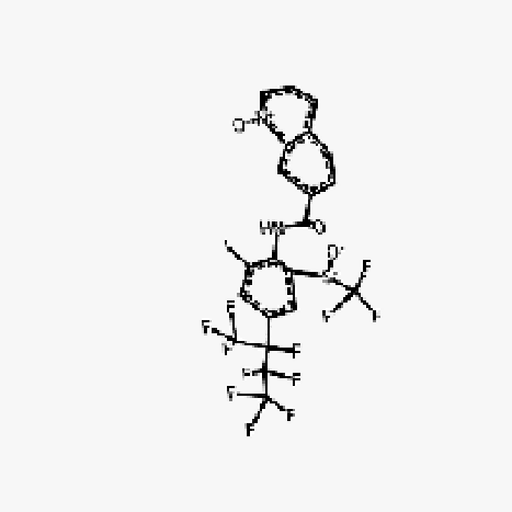 O=C(Nc1c(I)cc(C(F)(C(F)(F)F)C(F)(F)C(F)(F)F)cc1[S+]([O-])C(F)(F)F)c1ccc2ccc[n+]([O-])c2c1